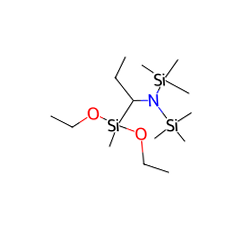 CCO[Si](C)(OCC)C(CC)N([Si](C)(C)C)[Si](C)(C)C